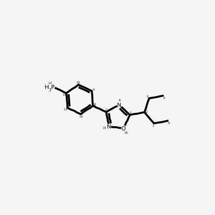 CCC(CC)c1nc(-c2ccc(P)cc2)no1